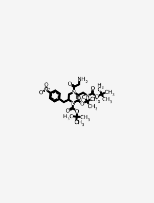 CC(C)(C)OC(=O)NCCN(CC(Cc1ccc([N+](=O)[O-])cc1)N(C(=O)OC(C)(C)C)C(=O)OC(C)(C)C)C(=O)CN